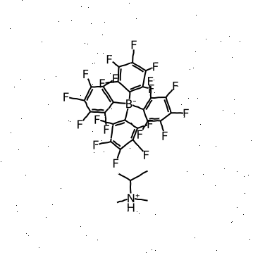 CC(C)[NH+](C)C.Fc1c(F)c(F)c([B-](c2c(F)c(F)c(F)c(F)c2F)(c2c(F)c(F)c(F)c(F)c2F)c2c(F)c(F)c(F)c(F)c2F)c(F)c1F